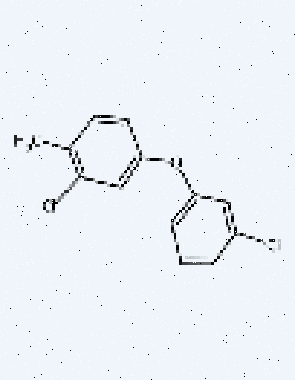 Cc1ccc(Oc2cccc(Cl)c2)cc1Cl